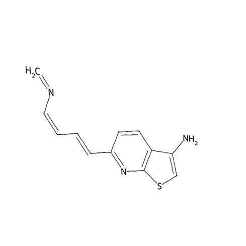 C=N/C=C\C=C\c1ccc2c(N)csc2n1